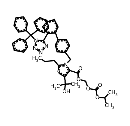 CCCc1nc(C(C)(C)O)c(C(=O)OCOC(=O)OC(C)C)n1Cc1ccc(-c2ccccc2-c2nnnn2C(c2ccccc2)(c2ccccc2)c2ccccc2)cc1